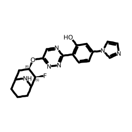 Oc1cc(-n2ccnc2)ccc1-c1ncc(O[C@@H]2CC3CCCC(N3)[C@@H]2F)nn1